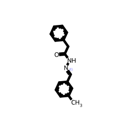 Cc1cccc(/C=N/NC(=O)Cc2ccccc2)c1